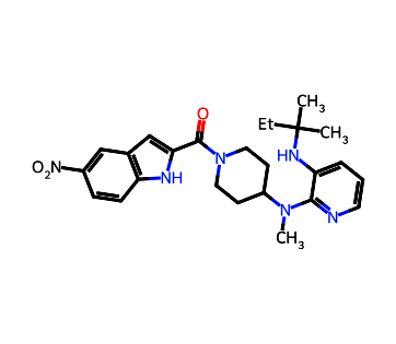 CCC(C)(C)Nc1cccnc1N(C)C1CCN(C(=O)c2cc3cc([N+](=O)[O-])ccc3[nH]2)CC1